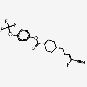 N#CC(F)=CCC[C@H]1CC[C@H](C(=O)Oc2ccc(OC(F)(F)F)cc2)CC1